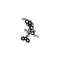 CC1=C2C[C@H]3[C@@H](CC=C4C[C@@H](O)CC[C@@]43C)[C@@H]2CC[C@]12O[C@@H]1C[C@H](C)CN(C(=O)OCC3c4ccccc4-c4ccccc43)[C@H]1[C@H]2C